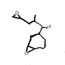 CCC(C(C)CC1CO1)C1CCC2OC2C1